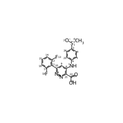 C[S+]([O-])c1ccc(Nc2cc(-c3c(F)cccc3F)nnc2C(=O)O)cc1